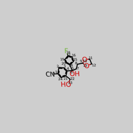 [C-]#[N+]c1ccc(C(O)(CCC2OCCO2)c2ccc(F)cc2)c(CO)c1